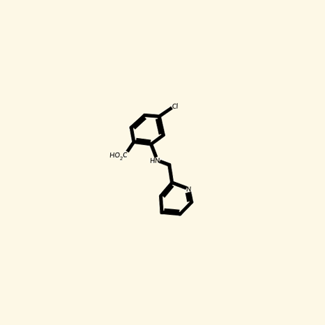 O=C(O)c1ccc(Cl)cc1NCc1ccccn1